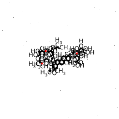 CC[C@H](C)C(=O)OC1=C(O[C@@H]2OC(CO)[C@@H](O)C(O)C2O)C(O[C@@H]2OC(C)[C@H](O)C(OC(=O)[C@@H](C)CC)C2O)[C@H](OC(=O)[C@]23CC[C@](C)(C(=O)OC)CC2C2=CCC4[C@@]5(C)CC[C@H](O[C@@H]6OC(O)(C(=O)O)CC(O)C6O[C@@H]6OC(CO)[C@H](O)C(O)C6O)[C@@](C)(COC(C)=O)C5CC[C@@]4(C)[C@]2(C)CC3)OC1C